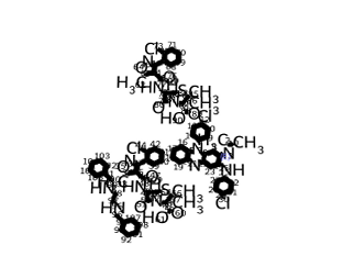 CC(C)/N=c1\cc2n(-c3ccc(Cl)cc3)c3ccccc3nc-2cc1Nc1ccc(Cl)cc1.Cc1onc(-c2ccccc2Cl)c1C(=O)N[C@@H]1C(=O)N2[C@@H]1SC(C)(C)[C@@H]2C(=O)O.Cc1onc(-c2ccccc2Cl)c1C(=O)N[C@@H]1C(=O)N2[C@@H]1SC(C)(C)[C@@H]2C(=O)O.c1ccc(CNCCNCc2ccccc2)cc1